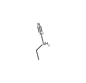 CC[SiH2][N+]#N